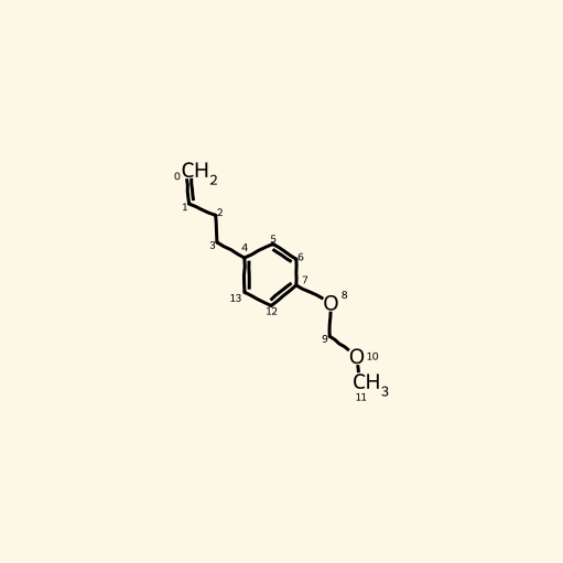 C=CCCc1ccc(OCOC)cc1